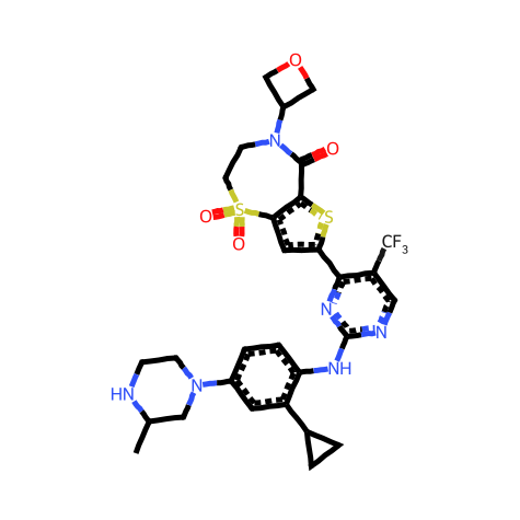 CC1CN(c2ccc(Nc3ncc(C(F)(F)F)c(-c4cc5c(s4)C(=O)N(C4COC4)CCS5(=O)=O)n3)c(C3CC3)c2)CCN1